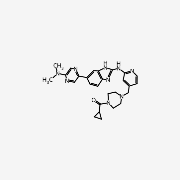 CN(C)c1cnc(-c2ccc3nc(Nc4cc(CN5CCN(C(=O)C6CC6)CC5)ccn4)[nH]c3c2)cn1